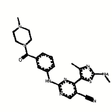 CNc1nc(C)c(-c2nc(Nc3cccc(C(=O)N4CCN(C)CC4)c3)ncc2C#N)s1